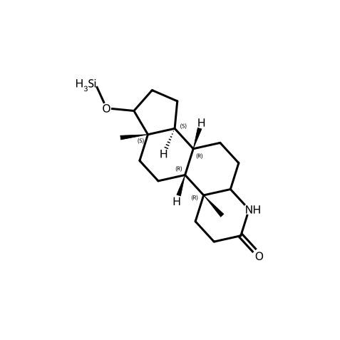 C[C@]12CCC(=O)NC1CC[C@@H]1[C@H]2CC[C@]2(C)C(O[SiH3])CC[C@@H]12